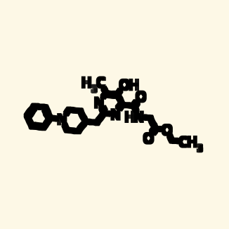 CCOC(=O)CNC(=O)c1nc(CC2CCN(c3ccccc3)CC2)nc(C)c1O